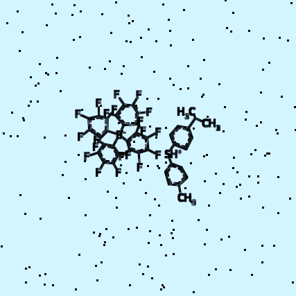 Cc1ccc([SH+]c2ccc(C(C)C)cc2)cc1.Fc1c(F)c(F)c([B-](c2c(F)c(F)c(F)c(F)c2F)(c2c(F)c(F)c(F)c(F)c2F)c2c(F)c(F)c(F)c(F)c2F)c(F)c1F